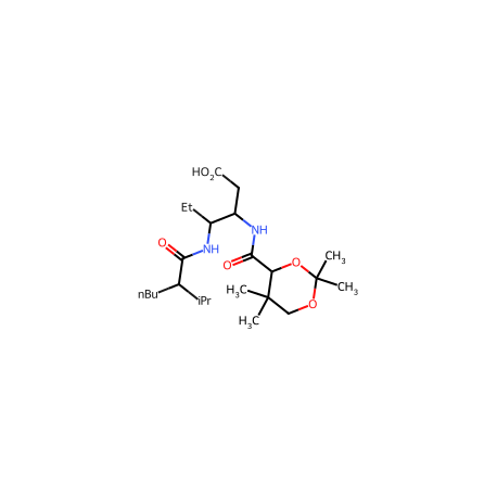 CCCCC(C(=O)NC(CC)C(CC(=O)O)NC(=O)C1OC(C)(C)OCC1(C)C)C(C)C